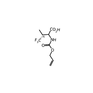 C=CCOC(=O)NC(C(=O)O)[C@@H](C)C(F)(F)F